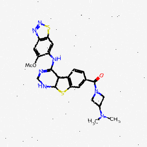 COc1cc2nnsc2cc1NC1=NCNC2Sc3cc(C(=O)N4CC(N(C)C)C4)ccc3C12